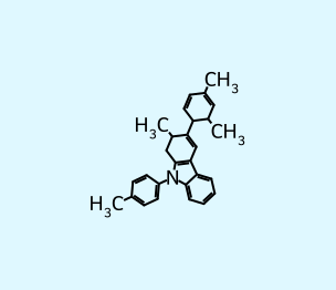 CC1=CC(C)C(C2=Cc3c(n(-c4ccc(C)cc4)c4ccccc34)CC2C)C=C1